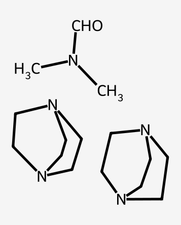 C1CN2CCN1CC2.C1CN2CCN1CC2.CN(C)C=O